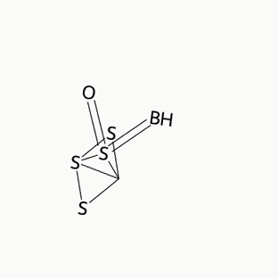 B=S1(=O)C23SS21S3